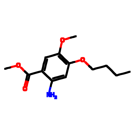 CCCCOc1cc(N)c(C(=O)OC)cc1OC